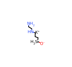 NCCNCCC[SiH2][O-].[K+]